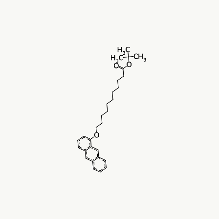 CC(C)(C)OC(=O)CCCCCCCCCCOc1cccc2cc3ccccc3cc12